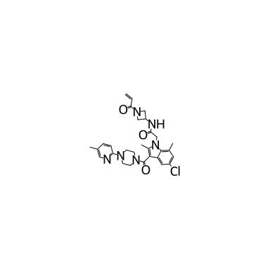 C=CC(=O)N1CC(NC(=O)Cn2c(C)c(C(=O)N3CCN(c4ccc(C)cn4)CC3)c3cc(Cl)cc(C)c32)C1